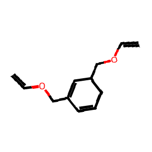 C=COCC1=CC(COC=C)CC=C1